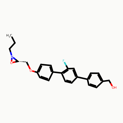 CCCN1O[C@H]1COc1ccc(-c2ccc(-c3ccc(CO)cc3)cc2F)cc1